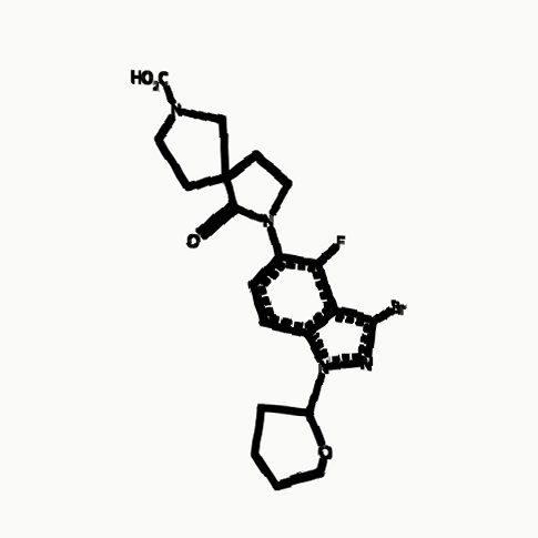 O=C(O)N1CCC2(CCN(c3ccc4c(c(Br)nn4C4CCCCO4)c3F)C2=O)C1